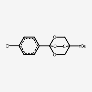 CCCCC12COC(c3ccc(Cl)cc3)(OC1)OC2